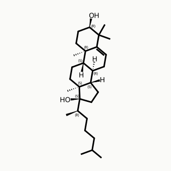 CC(C)CCC[C@@H](C)[C@@]1(O)CC[C@H]2[C@@H]3CC=C4C(C)(C)[C@H](O)CC[C@]4(C)[C@H]3CC[C@@]21C